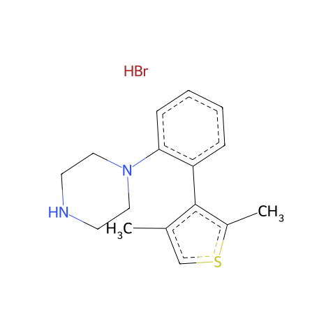 Br.Cc1csc(C)c1-c1ccccc1N1CCNCC1